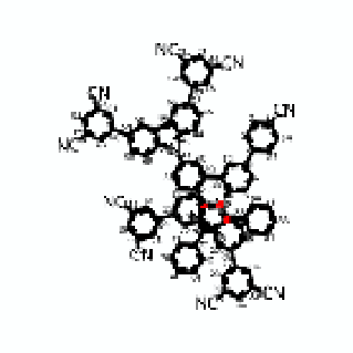 N#Cc1ccc(-c2ccc(-n3c4ccc(-c5cc(C#N)cc(C#N)c5)cc4c4cc(-c5cc(C#N)cc(C#N)c5)ccc43)c(-c3cc(-n4c5ccc(-c6cc(C#N)cc(C#N)c6)cc5c5cc(-c6cc(C#N)cc(C#N)c6)ccc54)ccc3-c3nc(-c4ccccc4)nc(-c4ccccc4)n3)c2)cc1